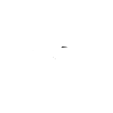 O=C(O)C1CCCN1C(=O)[C@H]1CCCO1